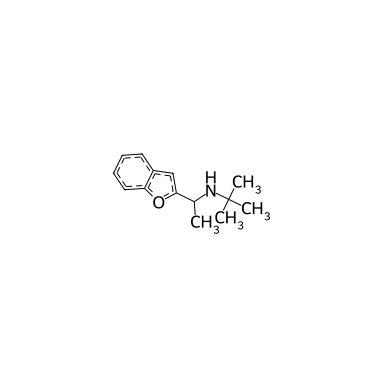 CC(NC(C)(C)C)c1cc2ccccc2o1